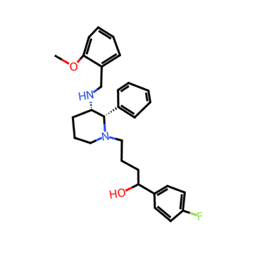 COc1ccccc1CN[C@H]1CCCN(CCCC(O)c2ccc(F)cc2)[C@H]1c1ccccc1